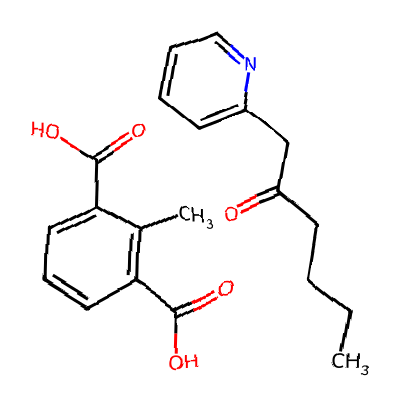 CCCCC(=O)Cc1ccccn1.Cc1c(C(=O)O)cccc1C(=O)O